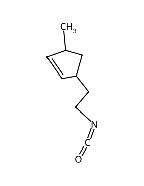 CC1C=CC(CCN=C=O)C1